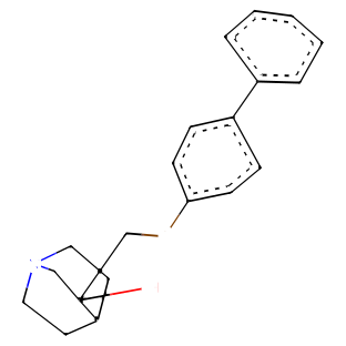 OC1(CSc2ccc(-c3ccccc3)cc2)CN2CCC1CC2